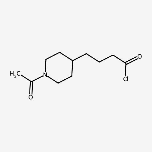 CC(=O)N1CCC(CCCC(=O)Cl)CC1